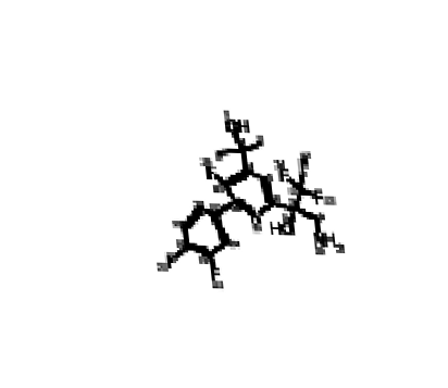 CC(C)(O)c1cc([C@@](O)(CN)C(F)(F)F)nc(-c2ccc(F)c(F)c2)c1F